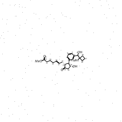 CCCC1(C(O)c2cccc([C@H]3[C@H](O)CC(=O)[C@@H]3CC=CCCCC(=O)OC)c2)CCC1